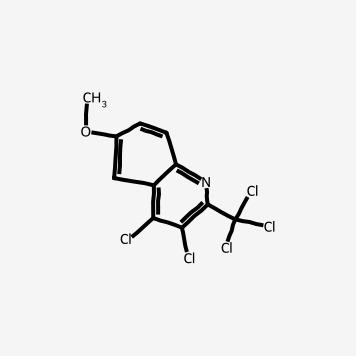 COc1ccc2nc(C(Cl)(Cl)Cl)c(Cl)c(Cl)c2c1